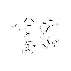 CN1[C@@H]2CC[C@H]1C[C@@H](OC(=O)C(CO)c1ccccc1)C2.Cn1cnc([N+](=O)[O-])c1Sc1ncnc2nc[nH]c12